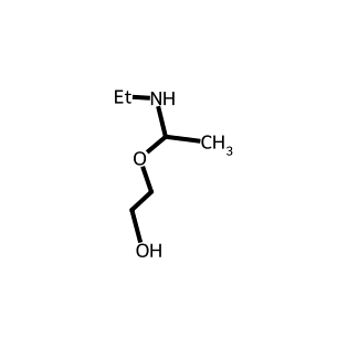 CCNC(C)OCCO